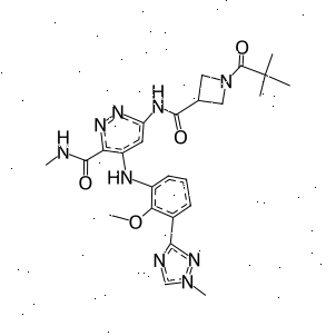 CNC(=O)c1nnc(NC(=O)C2CN(C(=O)C(C)(C)C)C2)cc1Nc1cccc(-c2ncn(C)n2)c1OC